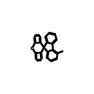 Cc1cccc2c1-c1ccccc1C21c2ccccc2Oc2ccccc21